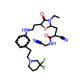 CCN1C(=O)C(CCNc2cccc(CCN3CCCC(F)(F)C3)c2)SC1CC(C#N)C(=O)NCC#N